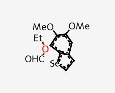 CCOC=O.COc1cc2cc[se]c2cc1OC